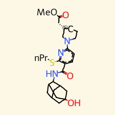 CCCSc1nc(N2CCC[C@@H](CC(=O)OC)C2)ccc1C(=O)NC1C2CC3CC1CC(O)(C3)C2